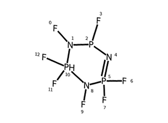 FN1P(F)N=P(F)(F)N(F)[PH]1(F)F